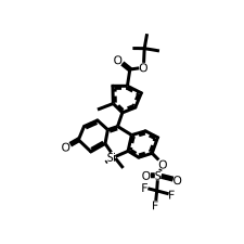 Cc1cc(C(=O)OC(C)(C)C)ccc1C1=C2C=CC(=O)C=C2[Si](C)(C)c2cc(OS(=O)(=O)C(F)(F)F)ccc21